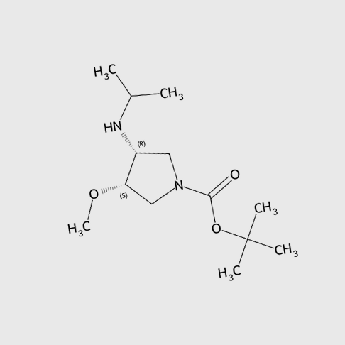 CO[C@H]1CN(C(=O)OC(C)(C)C)C[C@H]1NC(C)C